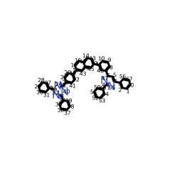 c1ccc(-c2cc(-c3cccc(-c4ccc5ccc(-c6ccc(-c7nc(-c8ccccc8)nc(-c8ccccc8)n7)cc6)cc5c4)c3)nc(-c3ccccc3)n2)cc1